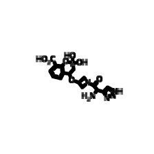 NC(C(=O)N1CC(OC2C[B-](O)(O)Oc3c(C(=O)O)cccc32)C1)c1c[nH]nn1